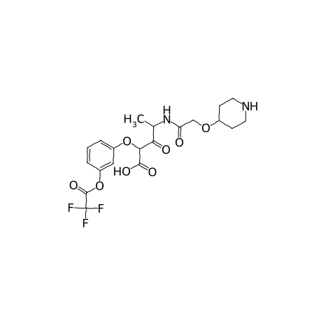 CC(NC(=O)COC1CCNCC1)C(=O)C(Oc1cccc(OC(=O)C(F)(F)F)c1)C(=O)O